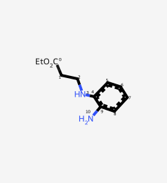 CCOC(=O)CCNc1ccccc1N